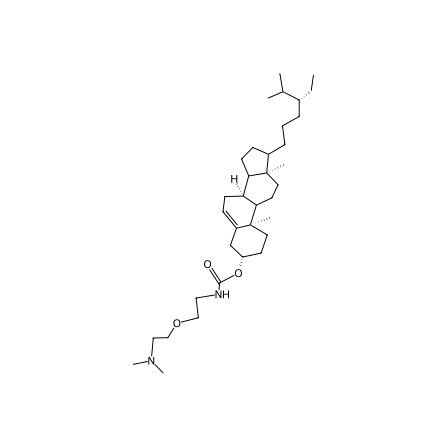 CC[C@H](CCCC1CCC2[C@@H]3CC=C4C[C@@H](OC(=O)NCCOCCN(C)C)CC[C@]4(C)C3CC[C@]12C)C(C)C